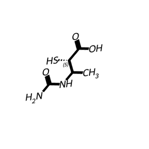 CC(NC(N)=O)[C@H](S)C(=O)O